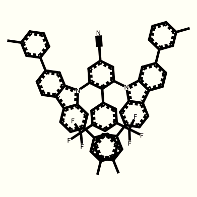 Cc1cccc(-c2ccc3c4ccc(-c5cccc(C)c5)cc4n(-c4cc(C#N)cc(-n5c6cc(-c7cccc(C)c7)ccc6c6ccc(-c7cccc(C)c7)cc65)c4-c4cc(C(F)(F)F)cc(C(F)(F)F)c4)c3c2)c1